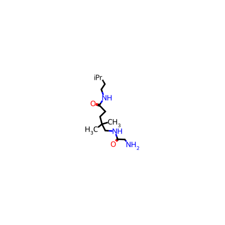 CC(C)CCNC(=O)CCC(C)(C)CNC(=O)CN